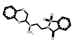 CN(CCN1C(=O)c2ccccc2S1(=O)=O)C1COc2ccccc2O1